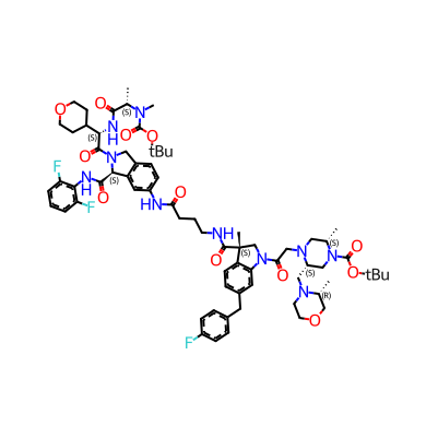 C[C@@H]1COCCN1C[C@H]1CN(C(=O)OC(C)(C)C)[C@@H](C)CN1CC(=O)N1C[C@@](C)(C(=O)NCCCC(=O)Nc2ccc3c(c2)[C@@H](C(=O)Nc2c(F)cccc2F)N(C(=O)[C@@H](NC(=O)[C@H](C)N(C)C(=O)OC(C)(C)C)C2CCOCC2)C3)c2ccc(Cc3ccc(F)cc3)cc21